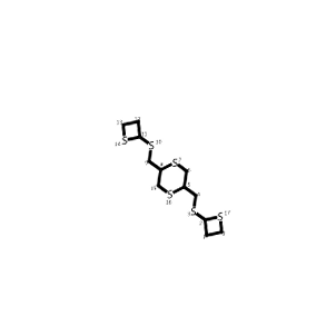 C1CC(SCC2CSC(CSC3CCS3)CS2)S1